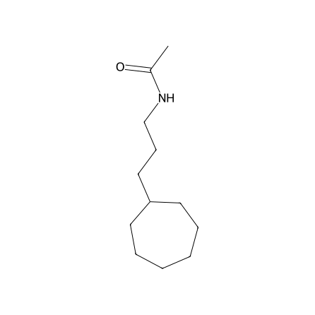 CC(=O)NCCCC1CCCCCC1